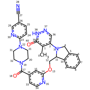 Cc1c(N2Cc3ccccc3C2COc2cc(C(=O)N3CCN(c4ccc(C#N)cn4)CC3)ccn2)cn[nH]c1=O